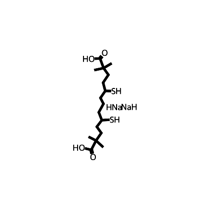 CC(C)(CCC(S)CCCC(S)CCC(C)(C)C(=O)O)C(=O)O.[NaH].[NaH]